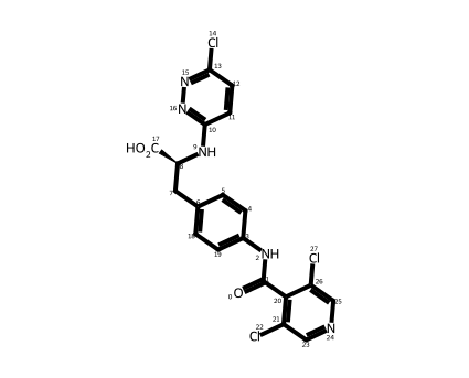 O=C(Nc1ccc(C[C@H](Nc2ccc(Cl)nn2)C(=O)O)cc1)c1c(Cl)cncc1Cl